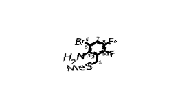 CSCc1c(N)c(Br)cc(F)c1F